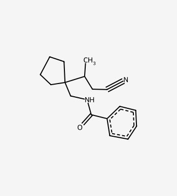 CC(CC#N)C1(CNC(=O)c2ccccc2)CCCC1